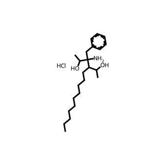 CCCCCCCCCCC(C(C)O)C(N)(Cc1ccccc1)C(C)O.Cl